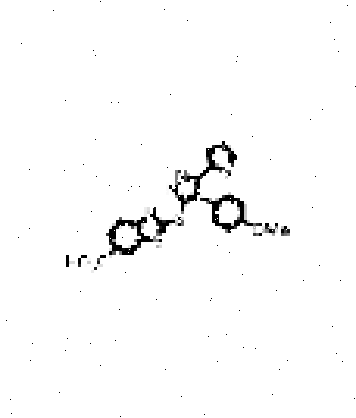 COc1ccc(-n2c(Sc3nc4ccc(C(=O)O)cc4s3)nnc2-c2cccs2)cc1